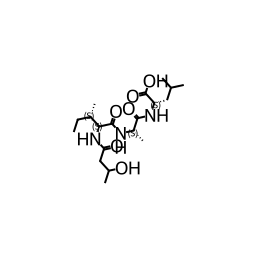 CC[C@H](C)[C@H](NC(=O)CC(C)O)C(=O)N[C@@H](C)C(=O)N[C@@H](CC(C)C)C(=O)O